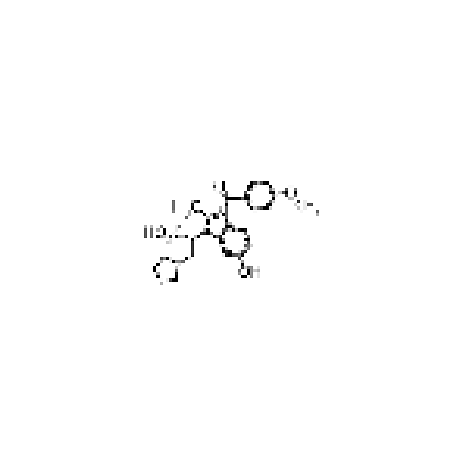 Cc1c([C@H](CC2CCCC2)C(=O)O)c2cc(O)ccc2n1C(=O)c1ccc(OC(F)(F)F)cc1